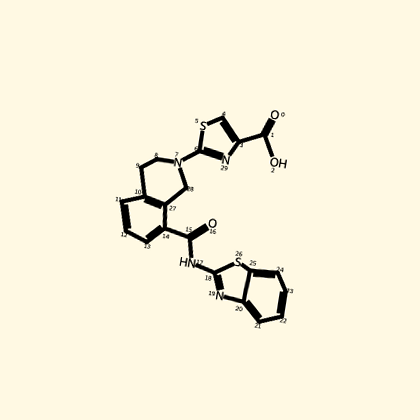 O=C(O)c1csc(N2CCc3cccc(C(=O)Nc4nc5ccccc5s4)c3C2)n1